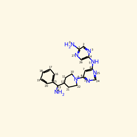 Nc1cnc(Nc2cc(N3CCC(C(N)c4ccccc4)CC3)ncn2)cn1